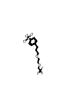 O=S(=O)(Cl)c1ccc(CCCOCCOCC(F)(F)F)cc1